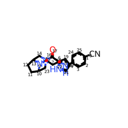 N#Cc1ccc(NCCCN2C3CCC2CN(C(=O)c2ccc[nH]2)C3)cc1